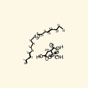 CCCCCCC[CH2][Ag][CH2]CCCCCCC.O=C(O)CC(C(=O)O)S(=O)(=O)O